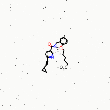 CN(Cc1ccccc1OCCCCCC(=O)O)C(=O)c1ccc(C#CC2CC2)nc1